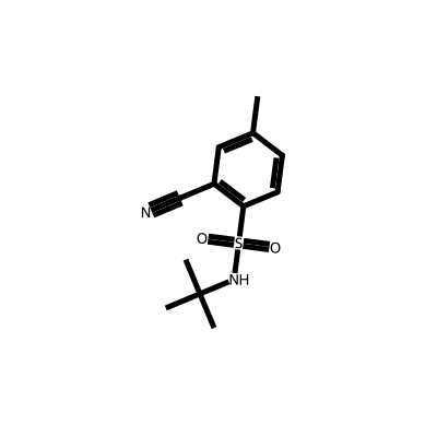 Cc1ccc(S(=O)(=O)NC(C)(C)C)c(C#N)c1